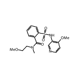 COCCN(C)C(=O)c1ccccc1S(=O)(=O)Nc1cnccc1OC